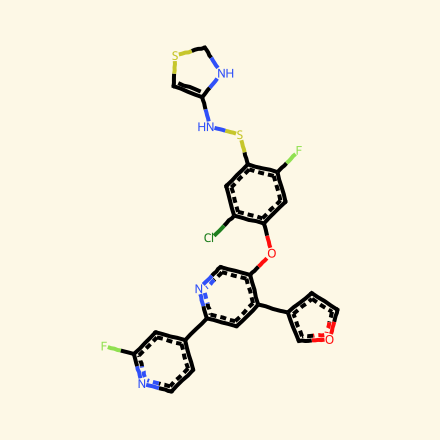 Fc1cc(-c2cc(-c3ccoc3)c(Oc3cc(F)c(SNC4=CSCN4)cc3Cl)cn2)ccn1